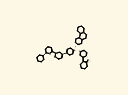 c1ccc(-c2cccc3c2oc2ccc(-c4ccc(N(c5ccc6c(ccc7ccccc76)c5)c5ccc6sc7ccccc7c6c5)cc4)cc23)cc1